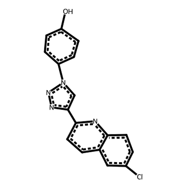 Oc1ccc(-n2cc(-c3ccc4cc(Cl)ccc4n3)nn2)cc1